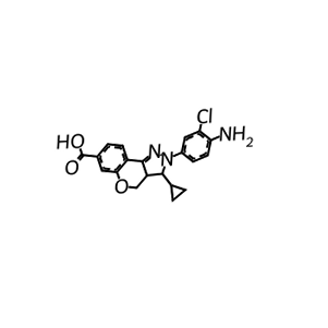 Nc1ccc(N2N=C3c4ccc(C(=O)O)cc4OCC3C2C2CC2)cc1Cl